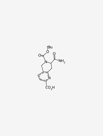 CC(C)(C)OC(=O)N1Cc2ccc(C(=O)O)nc2CC1C(N)=O